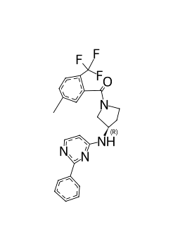 Cc1ccc(C(F)(F)F)c(C(=O)N2CC[C@@H](Nc3ccnc(-c4ccccc4)n3)C2)c1